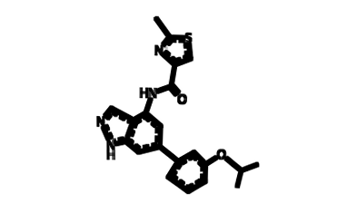 Cc1nc(C(=O)Nc2cc(-c3cccc(OC(C)C)c3)cc3[nH]ncc23)cs1